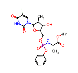 CC(C)OC(=O)[C@H](C)NP(=O)(OC[C@H]1O[C@@H](n2cc(F)c(=O)[nH]c2=O)[C@@H](C)[C@@H]1O)Oc1ccccc1